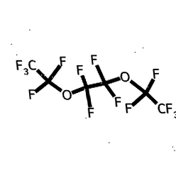 FC(F)(F)C(F)(F)OC(F)(F)C(F)(F)OC(F)(F)C(F)(F)F